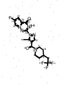 Cc1c(C(=O)N2CCC(CC(F)(F)F)CC2)cnn1-c1nn2cc(F)cc2c(=O)[nH]1